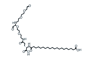 O=[C]COCCOCCNC(C=O)OCCOCCNC(=O)CC[C@H](NC(=O)CCCCCCCCCCCCCCCCCCC(=O)O)C(=O)O